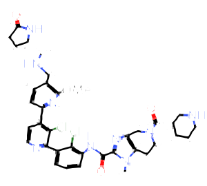 COc1nc(-c2ccnc(-c3cccc(NC(=O)c4nc5c(n4C)CCN(C(=O)[C@H]4CCCNC4)C5)c3Cl)c2Cl)ccc1CNC[C@@H]1CCC(=O)N1